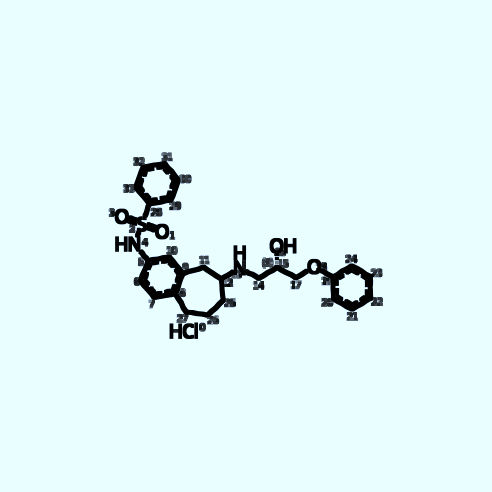 Cl.O=S(=O)(Nc1ccc2c(c1)CC(NC[C@H](O)COc1ccccc1)CCC2)c1ccccc1